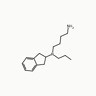 CCCN(CCCCN)C1Cc2ccccc2C1